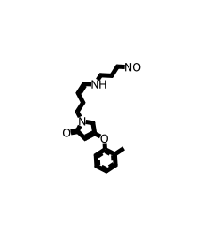 Cc1ccccc1OC1=CC(=O)N(CC/C=C\NCCCN=O)C1